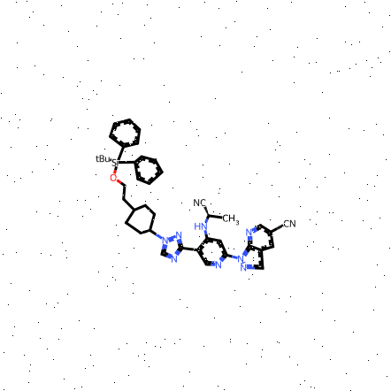 C[C@H](C#N)Nc1cc(-n2ncc3cc(C#N)cnc32)ncc1-c1ncn(C2CCC(CCO[Si](c3ccccc3)(c3ccccc3)C(C)(C)C)CC2)n1